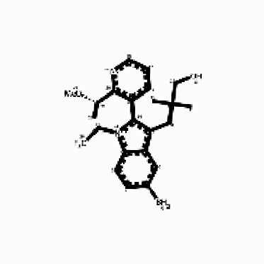 Bc1ccc2c(c1)c(CC(C)(C)CO)c(-c1cccnc1[C@H](C)OC)n2CC(F)(F)F